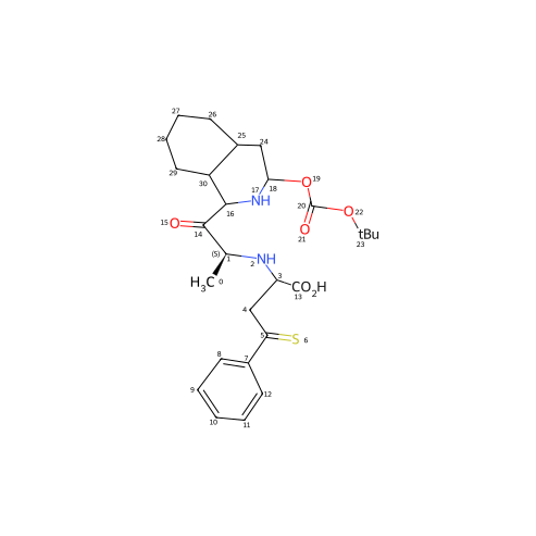 C[C@H](NC(CC(=S)c1ccccc1)C(=O)O)C(=O)C1NC(OC(=O)OC(C)(C)C)CC2CCCCC21